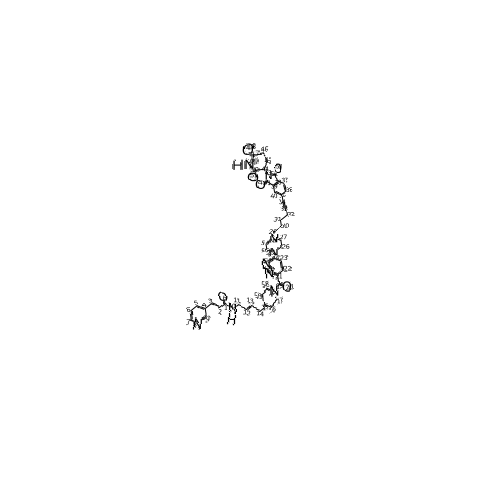 O=C(/C=C/c1cccnc1)NCCCCC1CCN(C(=O)c2ccc(N3CCN(CCCCC#Cc4ccc5c(c4)C(=O)N(C4CCC(=O)NC4=O)C5=O)CC3)nn2)CC1